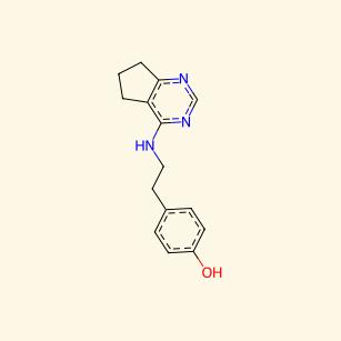 Oc1ccc(CCNc2ncnc3c2CCC3)cc1